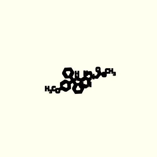 COC(=O)Cn1cnc2c(NC(c3ccccc3)(c3ccccc3)c3ccc(OC)cc3)ncnc21